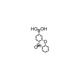 O=[Se]1c2ccccc2Oc2cc(B(O)O)ccc21